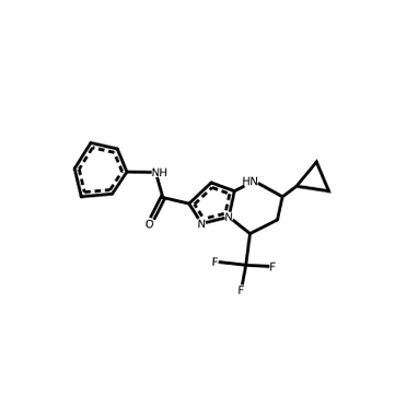 O=C(Nc1ccccc1)c1cc2n(n1)C(C(F)(F)F)CC(C1CC1)N2